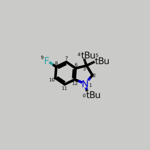 CC(C)(C)N1CC(C(C)(C)C)(C(C)(C)C)c2cc(F)ccc21